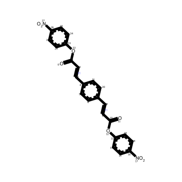 O=C(/C=C/c1ccc(/C=C/C(=O)Oc2ccc([N+](=O)[O-])cc2)cc1)Oc1ccc([N+](=O)[O-])cc1